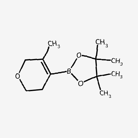 CC1=C(B2OC(C)(C)C(C)(C)O2)CCOC1